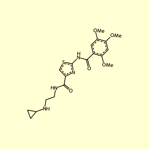 COc1cc(OC)c(C(=O)Nc2nc(C(=O)NCCNC3CC3)cs2)cc1OC